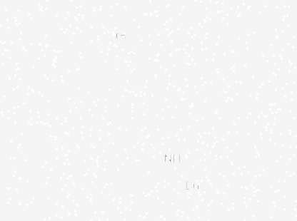 CC(C)(C)NC1(c2ccc(C(C)(C)C)cc2)CC1